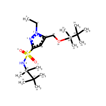 CCn1nc(S(=O)(=O)N[Si](C)(C)C(C)(C)C)cc1CO[Si](C)(C)C(C)(C)C